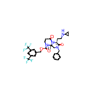 O=C1[C@H](CCNC2CC2)N2C(=O)CCN(C(=O)OCc3cc(C(F)(F)F)cc(C(F)(F)F)c3)[C@H]2CN1Cc1ccccc1